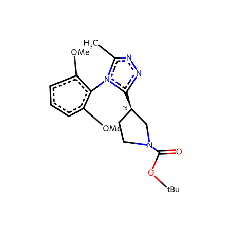 COc1cccc(OC)c1-n1c(C)nnc1[C@@H]1CCN(C(=O)OC(C)(C)C)C1